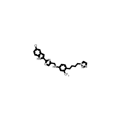 FC(F)(F)c1cc(NCc2coc(-c3cc4cc(Cl)ccc4[nH]3)n2)ccc1CCCCn1ccnn1